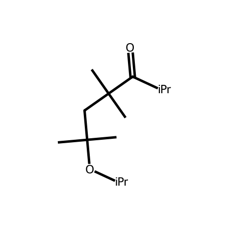 CC(C)OC(C)(C)CC(C)(C)C(=O)C(C)C